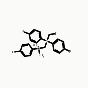 C[Si](C)(C[Si](CI)(c1ccc(F)cc1)c1ccc(F)cc1)c1ccc(Cl)cc1